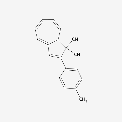 Cc1ccc(C2=CC3=CC=CC=CC3C2(C#N)C#N)cc1